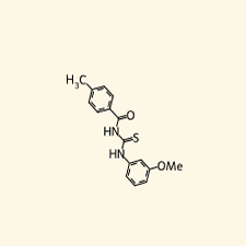 COc1cccc(NC(=S)NC(=O)c2ccc(C)cc2)c1